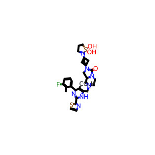 Cc1c(F)cccc1C1N=C(c2nccs2)NC(CN2CCN3C(=O)N(C45CC(N6CCCS6(O)O)(C4)C5)CC3C2)=C1C(=O)O